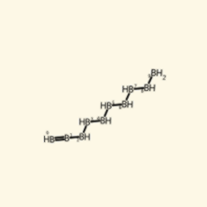 B=BBBBBBBBB